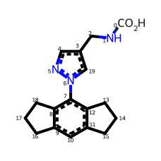 O=C(O)NCc1cnn(-c2c3c(cc4c2CCC4)CCC3)c1